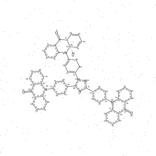 O=C1c2ccccc2N(C2=CC=C(n3nc(-c4ccc(-n5c6ccccc6c(=O)c6ccccc65)cc4)nc3-c3ccc(-n4c5ccccc5c(=O)c5ccccc54)cc3)CC2)[C@@H]2C=CC=CC12